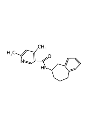 Cc1cc(C)c(C(=O)NC2CCCc3ccccc3C2)cn1